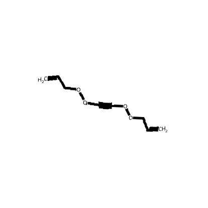 C=CCOOC#COOCC=C